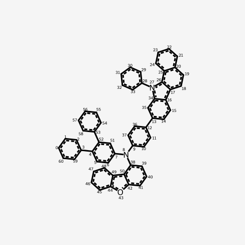 c1ccc(-c2ccc(N(c3ccc(-c4ccc5c6ccc7ccccc7c6n(-c6ccccc6)c5c4)cc3)c3cccc4oc5ccccc5c34)cc2-c2ccccc2)cc1